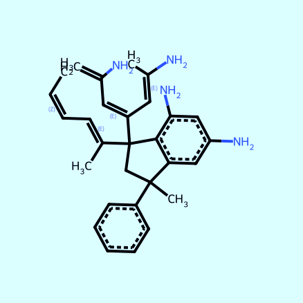 C=C(N)/C=C(\C=C(/C)N)C1(/C(C)=C/C=C\C)CC(C)(c2ccccc2)c2cc(N)cc(N)c21